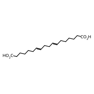 O=C(O)CCCCC/C=C/CC/C=C/CCCCCC(=O)O